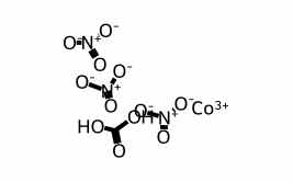 O=C(O)O.O=[N+]([O-])[O-].O=[N+]([O-])[O-].O=[N+]([O-])[O-].[Co+3]